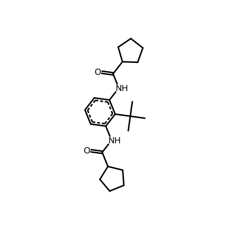 CC(C)(C)c1c(NC(=O)C2CCCC2)cccc1NC(=O)C1CCCC1